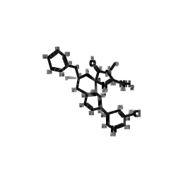 CN1C(=O)[C@]2(C[C@](C)(Cc3ccccc3)Cc3ccc(-c4cncc(Cl)c4)cc32)N=C1N